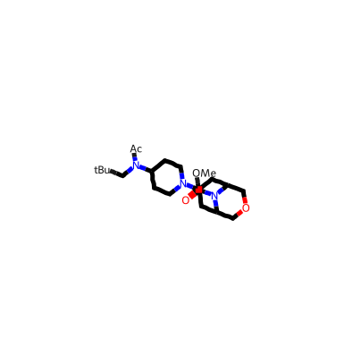 COC(=O)N1C2COCC1CC(N1CCC(N(CC(C)(C)C)C(C)=O)CC1)C2